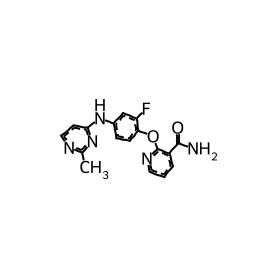 Cc1nccc(Nc2ccc(Oc3ncccc3C(N)=O)c(F)c2)n1